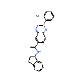 C=C(NC1CCc2ccccc21)c1ccc2nc(-c3ccccc3Cl)cnc2c1